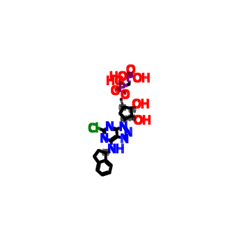 O=P(O)(O)CP(=O)(O)OC[C@H]1C[C@H](n2nnc3c(N[C@H]4CCc5ccccc54)nc(Cl)nc32)[C@H](O)[C@@H]1O